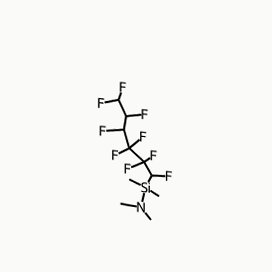 CN(C)[Si](C)(C)C(F)C(F)(F)C(F)(F)C(F)C(F)C(F)F